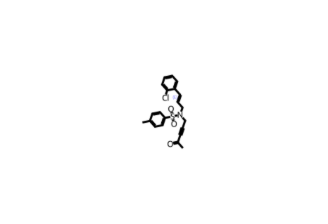 CC(=O)C#CCN(C/C=C/c1ccccc1Cl)S(=O)(=O)c1ccc(C)cc1